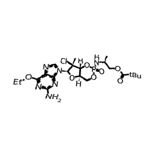 CCOc1nc(N)nc2c1ncn2[C@@H]1O[C@@H]2COP(=O)(N[C@@H](C)COC(=O)C(C)(C)C)O[C@H]2[C@@]1(C)Cl